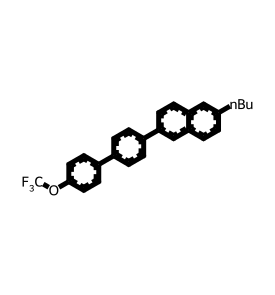 CCCCc1ccc2cc(-c3ccc(-c4ccc(OC(F)(F)F)cc4)cc3)ccc2c1